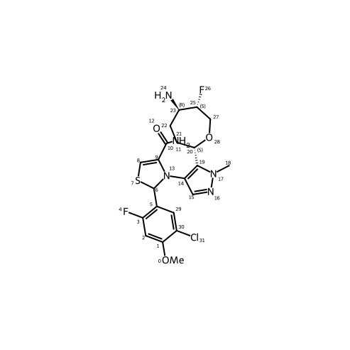 COc1cc(F)c(C2SC=C(C(N)=O)N2c2cnn(C)c2[C@@H]2CC[C@@H](N)[C@H](F)CO2)cc1Cl